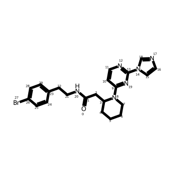 O=C(CC1CCCCN1c1ccnc(-n2ccnc2)n1)NCCc1ccc(Br)cc1